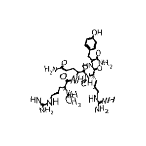 CN[C@@H](CCCNC(=N)N)C(=O)NC(CCC(N)=O)C(=O)N(C)[C@@H](CCCNC(=N)N)C(=O)NC(Cc1ccc(O)cc1)C(N)=O